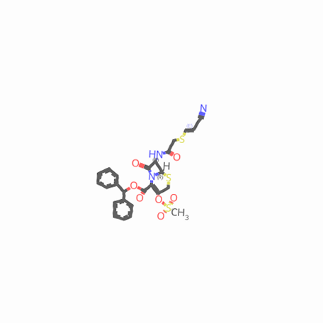 CS(=O)(=O)OC1=C(C(=O)OC(c2ccccc2)c2ccccc2)N2C(=O)[C@@H](NC(=O)CS/C=C/C#N)[C@H]2SC1